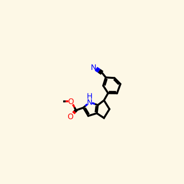 COC(=O)c1cc2c([nH]1)C(c1cccc(C#N)c1)CC2